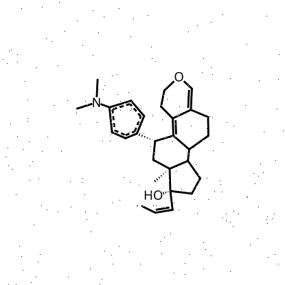 [CH2]/C=C\[C@]1(O)CCC2C3CCC4=COCCC4=C3[C@@H](c3ccc(N(C)C)cc3)C[C@@]21C